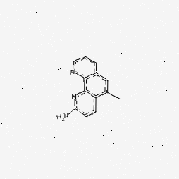 Cc1cc2cccnc2c2nc(N)ccc12